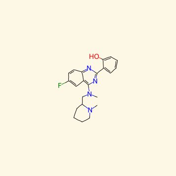 CN(CC1CCCCN1C)c1nc(-c2ccccc2O)nc2ccc(F)cc12